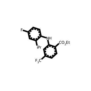 CCOC(=O)c1ccc(C(F)(F)F)cc1Nc1ccc(F)cc1C(C)C